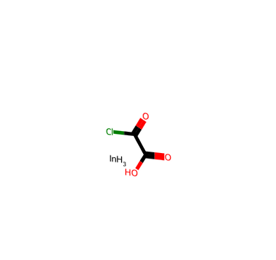 O=C(O)C(=O)Cl.[InH3]